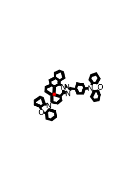 c1ccc2c(c1)Oc1ccccc1N2c1ccc(-c2nc(-c3ccc(N4c5ccccc5Oc5ccccc54)cc3)n(-c3c4ccccc4cc4ccccc34)n2)cc1